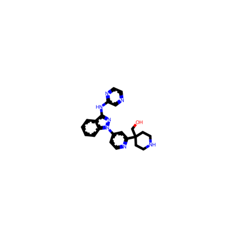 OCC1(c2cc(-n3nc(Nc4cnccn4)c4ccccc43)ccn2)CCNCC1